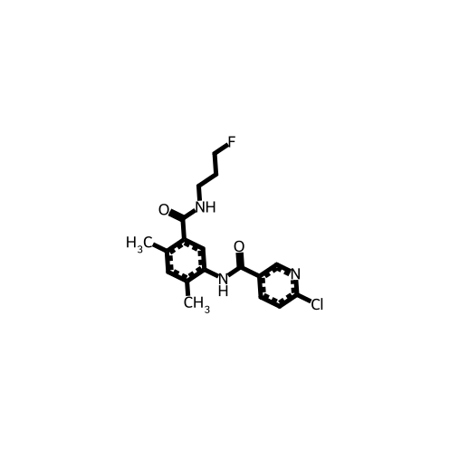 Cc1cc(C)c(C(=O)NCCCF)cc1NC(=O)c1ccc(Cl)nc1